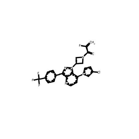 C=C(F)C(=O)N1CC(n2nc(-c3ccc(C(F)(F)F)cc3)c3nccc(-n4ccc(Cl)c4)c32)C1